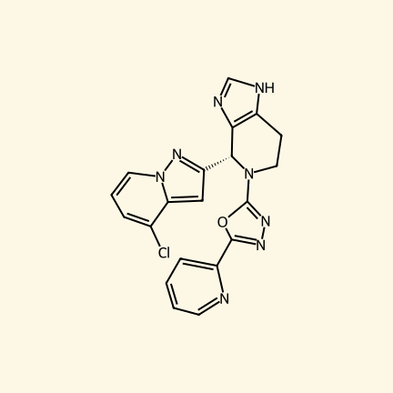 Clc1cccn2nc([C@@H]3c4nc[nH]c4CCN3c3nnc(-c4ccccn4)o3)cc12